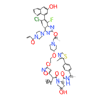 C=CC(=O)N1CCN(c2nc(O[C@H](C)CN3CCC(OCCOc4cc(C(C(=O)N5C[C@H](O)C[C@H]5C(=O)N[C@@H](C)c5ccc(-c6scnc6C)cc5)C(C)C)on4)CC3)nc3c(F)c(-c4cc(O)cc5ccccc45)c(Cl)cc23)CC1